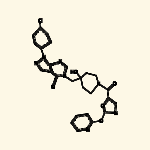 O=C(c1cnc(Oc2ccccn2)o1)N1CCC(O)(Cn2cnc3c(cnn3-c3ccc(Cl)cc3)c2=O)CC1